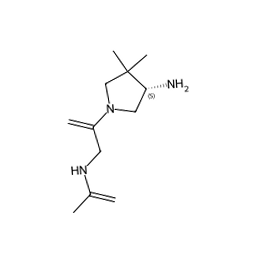 C=C(C)NCC(=C)N1C[C@@H](N)C(C)(C)C1